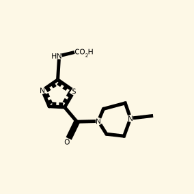 CN1CCN(C(=O)c2cnc(NC(=O)O)s2)CC1